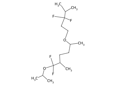 CC(C)OC(F)(F)C(C)CCC(C)OCCC(F)(F)C(C)C